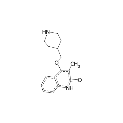 Cc1c(OCC2CCNCC2)c2ccccc2[nH]c1=O